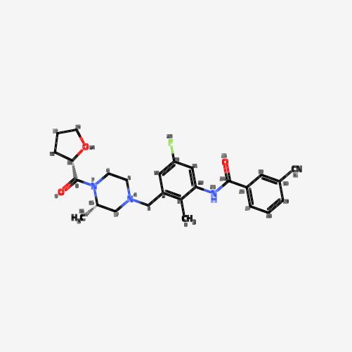 Cc1c(CN2CCN(C(=O)[C@@H]3CCCO3)[C@@H](C)C2)cc(F)cc1NC(=O)c1cccc(C#N)c1